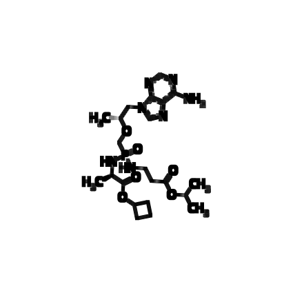 CC(C)OC(=O)CCNP(=O)(CO[C@H](C)Cn1cnc2c(N)ncnc21)N[C@H](C)C(=O)OC1CCC1